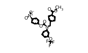 COC(=O)c1ccc(CN(C(=O)Oc2ccc([N+](=O)[O-])cc2)c2cccc(OC(F)(F)F)c2)cc1